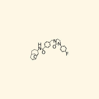 O=C(NC1CCC2CC3CC(C2)C1C3)c1ccc(CN2CCN(c3ccc(F)cc3)C2=O)cc1